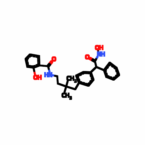 CC(C)(CCNC(=O)c1ccccc1O)Cc1ccc(C(C(=O)NO)c2ccccc2)cc1